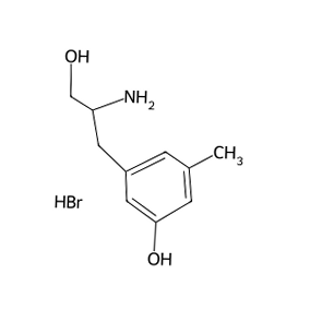 Br.Cc1cc(O)cc(CC(N)CO)c1